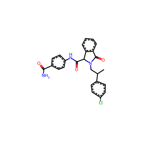 CC(CN1C(=O)c2ccccc2C1C(=O)Nc1ccc(C(N)=O)cc1)c1ccc(Cl)cc1